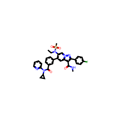 CCN(c1cn2nc(-c3ccc(F)cc3)c(C(=O)NC)c2cc1-c1cccc(C(=O)N(c2ccccn2)C2CC2)c1)S(C)(=O)=O